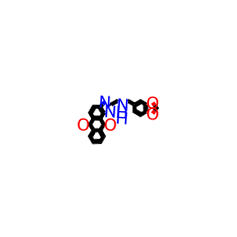 O=C1c2ccccc2C(=O)c2c1ccc1nc(CNCc3ccc4c(c3)OCO4)[nH]c21